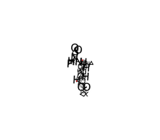 C[C@H](F)[C@@H](CN[C@]12CC[C@@H](C3(C)CC3)[C@@H]1[C@H]1CC[C@@H]3[C@@]4(C)CC[C@H](OC(=O)[C@H]5CCC5(C)C)C(C)(C)[C@@H]4CC[C@@]3(C)[C@]1(C)CC2)N1CCS(=O)(=O)CC1